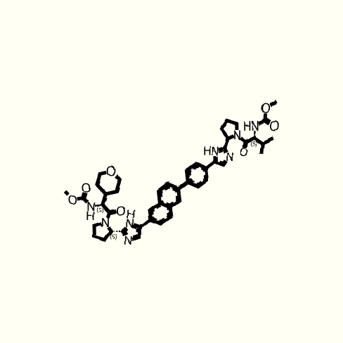 COC(=O)N[C@H](C(=O)N1CCCC1c1ncc(-c2ccc(-c3ccc4cc(-c5cnc([C@@H]6CCCN6C(=O)[C@@H](NC(=O)OC)C6CCOCC6)[nH]5)ccc4c3)cc2)[nH]1)C(C)C